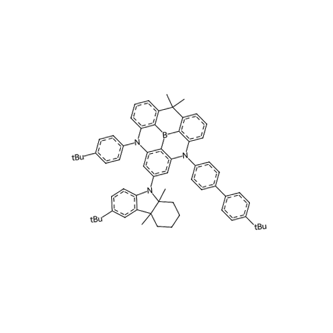 CC(C)(C)c1ccc(-c2ccc(N3c4cc(N5c6ccc(C(C)(C)C)cc6C6(C)CCCCC56C)cc5c4B4c6c3cccc6C(C)(C)c3cccc(c34)N5c3ccc(C(C)(C)C)cc3)cc2)cc1